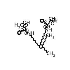 CCCCCCCC1C(CCCCC)CCC(CCCCCCCCCNC(=O)OC(CC=C(C)C(=O)O)COc2ccccc2)C1CCCCCCCCCNC(=O)OC(CC=C(C)C(=O)O)COc1ccccc1